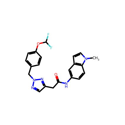 Cn1ccc2cc(NC(=O)Cc3cnn(Cc4ccc(OC(F)F)cc4)n3)ccc21